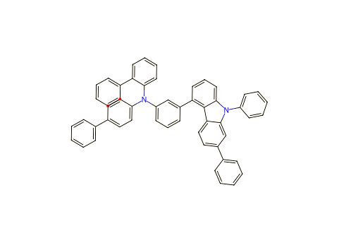 c1ccc(-c2ccc(N(c3cccc(-c4cccc5c4c4ccc(-c6ccccc6)cc4n5-c4ccccc4)c3)c3ccccc3-c3ccccc3)cc2)cc1